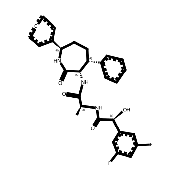 C[C@H](NC(=O)[C@@H](O)c1cc(F)cc(F)c1)C(=O)N[C@@H]1C(=O)N[C@@H](c2ccccc2)CC[C@@H]1c1ccccc1